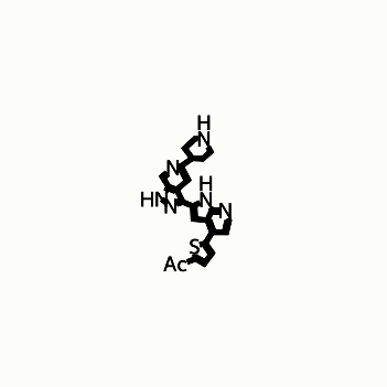 CC(=O)c1ccc(-c2ccnc3[nH]c(-c4n[nH]c5cnc(C6CCNCC6)cc45)cc23)s1